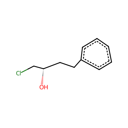 O[C@H](CCl)CCc1ccccc1